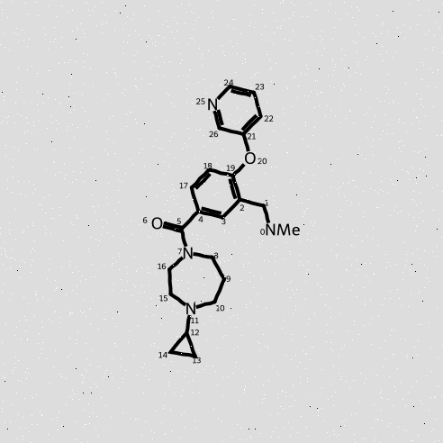 CNCc1cc(C(=O)N2CCCN(C3CC3)CC2)ccc1Oc1cccnc1